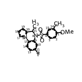 COc1ccc(S(=O)(=O)N2c3cc(F)ccc3-n3cccc3C2C)cc1C